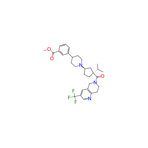 COC(=O)c1cccc(C2CCN([C@@H]3CC[C@@](C(=O)N4CCc5ncc(C(F)(F)F)cc5C4)(C(C)C)C3)CC2)c1